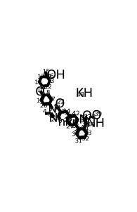 CCCc1nc(C)n(-c2ccc(OC3CCC(C)(O)CC3)cc2)c(=O)c1Cc1ccc(-c2ccccc2-c2noc(=O)[nH]2)cc1.[KH]